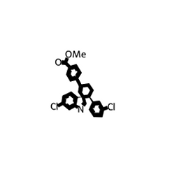 COC(=O)c1ccc(C2=C[C@]3(C=Nc4cc(Cl)ccc43)[C@H](c3cccc(Cl)c3)CC2)cc1